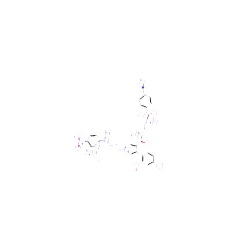 COc1cc(Cl)ccc1-c1cn(CCCNc2ccc([N+](=O)[O-])c(N)n2)cc1C(=O)NCCNS(=O)(=O)c1ccc(C#N)cc1